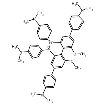 COc1cc(-c2ccc(N(C)C)cc2)cc(Pc2ccc(N(C)C)cc2)c1-c1c(OC)cc(-c2ccc(N(C)C)cc2)cc1Pc1ccc(N(C)C)cc1